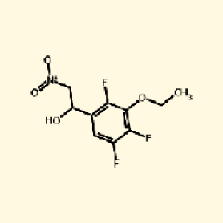 CCOc1c(F)c(F)cc(C(O)C[N+](=O)[O-])c1F